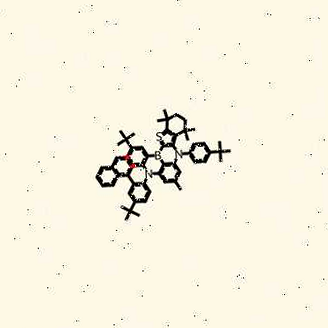 Cc1cc2c3c(c1)N(c1ccc(C(C)(C)C)cc1)c1c(sc4c1C(C)(C)CCC4(C)C)B3c1cc(C(C)(C)C)ccc1N2c1ccc(C(C)(C)C)cc1-c1cccc2ccccc12